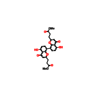 COC(=O)CCc1cc(=O)c2c(O)ccc(-c3ccc(O)c4c(=O)cc(CCC(=O)OC)oc34)c2o1